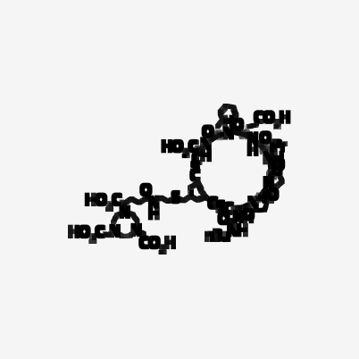 CCCCNC(=O)N[C@H]1CSCc2cc(CSCCNC(=O)CCC(C(=O)O)N3CCN(CC(=O)O)CCN(CC(=O)O)CC3)cc(c2)CSC[C@@H](C(=O)O)NC(=O)[C@H](Cc2ccccc2)NC(=O)[C@H](CCC(=O)O)NC(=O)[C@H](C(C)C)NC(=O)[C@@H]2CCCN2C(=O)[C@@H]2CCCN2C1=O